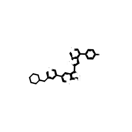 Fc1ccc(-c2cncc3[nH]c(-c4n[nH]c5ncc(-c6cncc(CC7CCCCC7)c6)cc45)cc23)cc1